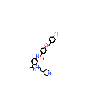 Cc1nn(CCC2CCN(C)CC2)c2cc(NC(=O)c3ccc(OCc4ccc(Cl)cc4)cc3)ccc12